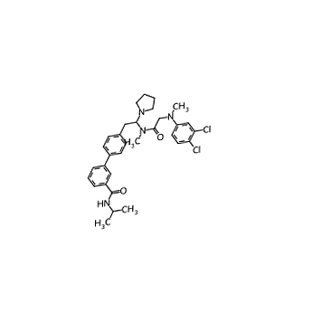 CC(C)NC(=O)c1cccc(-c2ccc(CC(N3CCCC3)N(C)C(=O)CN(C)c3ccc(Cl)c(Cl)c3)cc2)c1